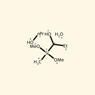 CCC(O)[Si](C)(OC)OC.CCCO.O